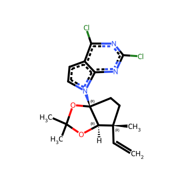 C=C[C@@]1(C)CC[C@@]2(n3ccc4c(Cl)nc(Cl)nc43)OC(C)(C)O[C@H]12